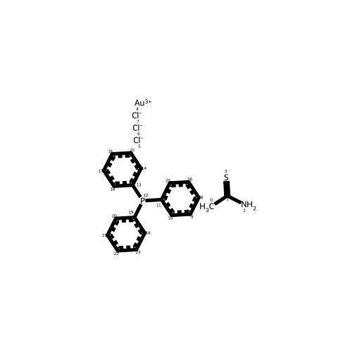 CC(N)=S.[Au+3].[Cl-].[Cl-].[Cl-].c1ccc(P(c2ccccc2)c2ccccc2)cc1